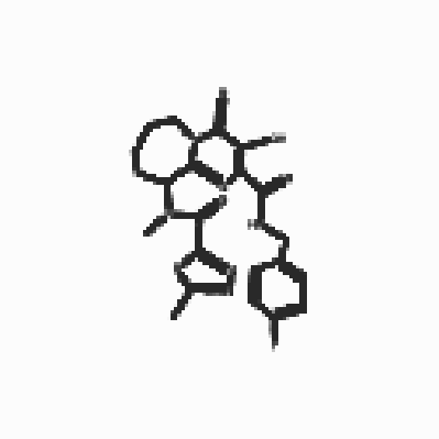 Cc1nnc(C(=O)N(C)C2CCCCn3c2nc(C(=O)NCc2ccc(F)cc2)c(O)c3=O)o1